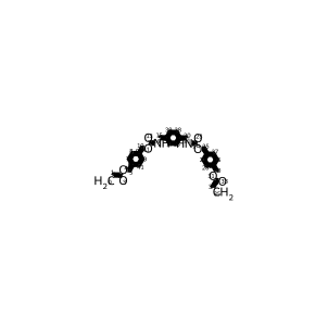 C=CC(=O)OCC1CCC(COC(=O)NCC2CCC(CNC(=O)OCC3CCC(COC(=O)C=C)CC3)CC2)CC1